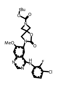 COc1cc2ncnc(Nc3cccc(Cl)c3F)c2cc1N1CC2(CN(C(=O)OC(C)(C)C)C2)OC1=O